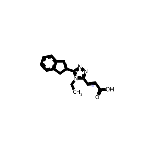 CCn1c(/C=C/C(=O)O)nnc1C1Cc2ccccc2C1